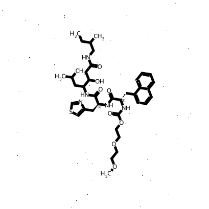 CCC(C)CNC(=O)CC(O)C(CC(C)C)NC(=O)[C@H](Cc1cscn1)NC(=O)[C@H](Cc1cccc2ccccc12)NC(=O)OCCOCCOC